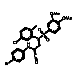 COc1ccc(S(=O)(=O)N(CC(=C=O)Nc2ccc(Br)cc2)c2cc(Cl)ccc2C)cc1OC